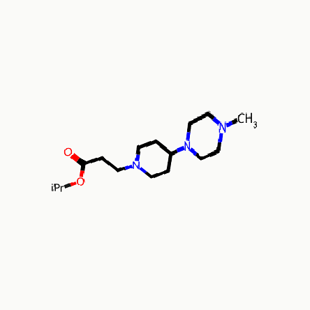 CC(C)OC(=O)CCN1CCC(N2CCN(C)CC2)CC1